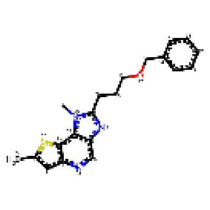 Bc1cc2ncc3nc(CCCOCc4ccccc4)n(C)c3c2s1